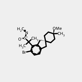 C=N[S+]([O-])C(C)(C)c1c(Br)ccc2c1C[C@]1(CC[C@](C)(OC)CC1)C2